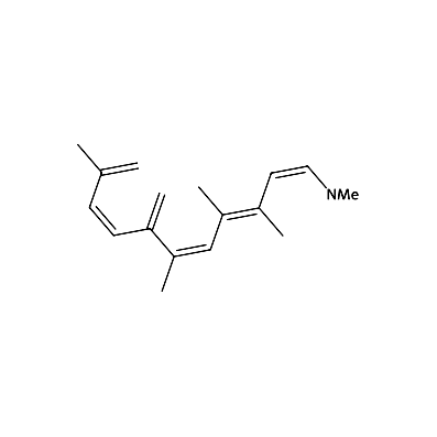 C=C(C)/C=C\C(=C)\C(C)=C/C(C)=C(C)/C=C\NC